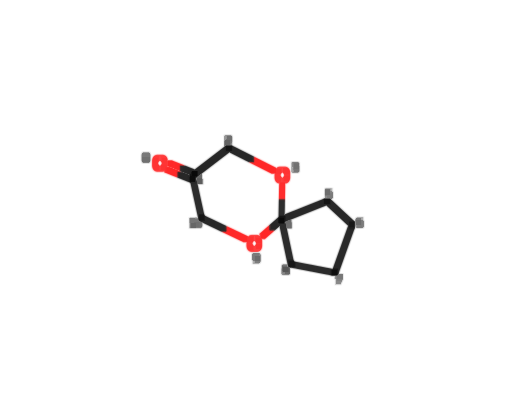 O=C1COC2(CCCC2)OC1